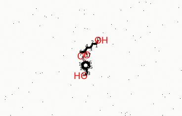 OCCCCC1=COB(c2ccc(CO)cc2)O1